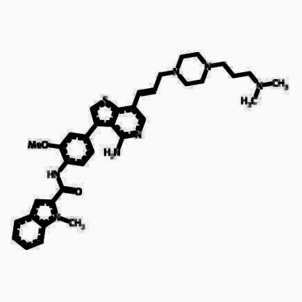 COc1cc(-c2csc3c(C=CCN4CCN(CCCN(C)C)CC4)cnc(N)c23)ccc1NC(=O)c1cc2ccccc2n1C